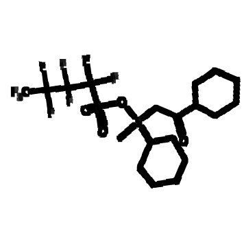 CS(CC(=O)C1CCCCC1)(OS(=O)(=O)C(F)(F)C(F)(F)C(F)(F)C(F)(F)F)C1CCCCC1